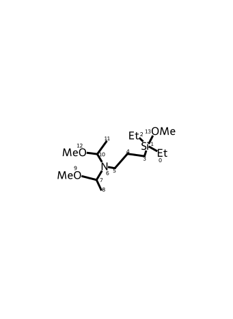 CC[Si](CC)(CCCN(C(C)OC)C(C)OC)OC